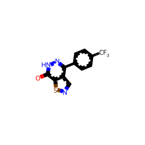 O=c1[nH]nc(-c2ccc(C(F)(F)F)cc2)c2cnsc12